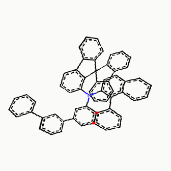 c1ccc(-c2cccc(-c3cccc(N(c4cccc5c4C4(c6ccccc6-c6ccccc64)c4ccccc4-5)c4ccc5ccccc5c4-c4ccccc4)c3)c2)cc1